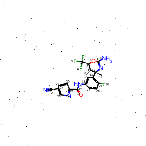 C[C@@H]1[C@@H](C(F)(F)F)OC(N)=N[C@]1(C)c1cc(NC(=O)c2ccc(C#N)cn2)ccc1F